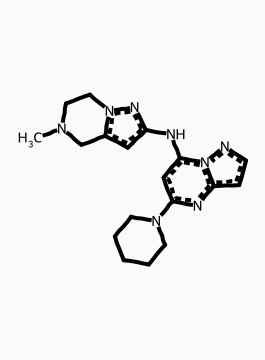 CN1CCn2nc(Nc3cc(N4CCCCC4)nc4ccnn34)cc2C1